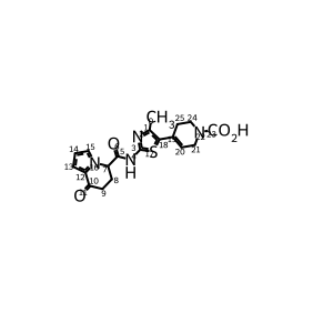 Cc1nc(NC(=O)C2CCC(=O)c3cccn32)sc1C1=CCN(C(=O)O)CC1